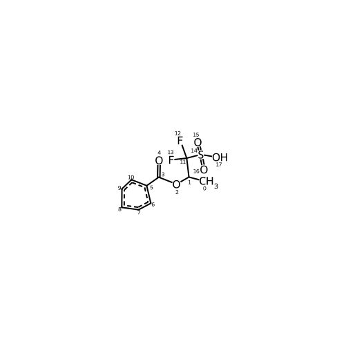 CC(OC(=O)c1ccccc1)C(F)(F)S(=O)(=O)O